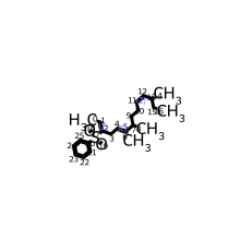 C/C=C(/C/C=C(\C)C(C)CC/C=C\C(C)CC)S(=O)(=O)c1ccccc1